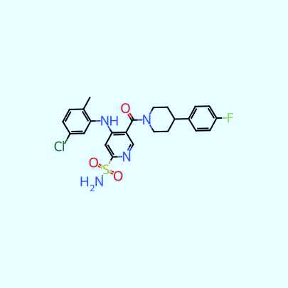 Cc1ccc(Cl)cc1Nc1cc(S(N)(=O)=O)ncc1C(=O)N1CCC(c2ccc(F)cc2)CC1